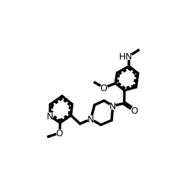 CNc1ccc(C(=O)N2CCN(Cc3cccnc3OC)CC2)c(OC)c1